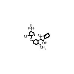 CCc1ccc(Oc2ncc(C(F)(F)F)cc2Cl)cc1C1=C(O)c2c(c3ccc2o3)C1=O